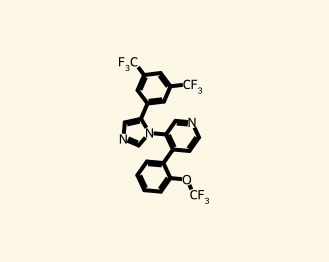 FC(F)(F)Oc1ccccc1-c1ccncc1-n1cncc1-c1cc(C(F)(F)F)cc(C(F)(F)F)c1